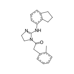 Cc1ccccc1CC(=O)N1CCN=C1Nc1cccc2c1CCC2